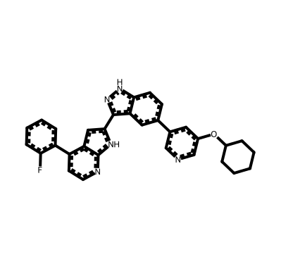 Fc1ccccc1-c1ccnc2[nH]c(-c3n[nH]c4ccc(-c5cncc(OC6CCCCC6)c5)cc34)cc12